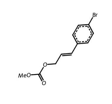 COC(=O)OCC=Cc1ccc(Br)cc1